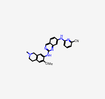 COc1cc2c(cc1Nc1ncc3ccc(Nc4cccc(C#N)n4)cc3n1)CN(C)CC2